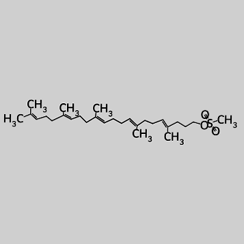 CC(C)=CCC/C(C)=C/CC/C(C)=C/CC/C=C(\C)CC/C=C(\C)CCCOS(C)(=O)=O